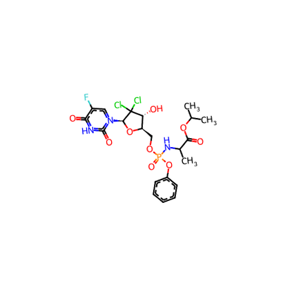 CC(C)OC(=O)C(C)NP(=O)(OC[C@H]1O[C@@H](n2cc(F)c(=O)[nH]c2=O)C(Cl)(Cl)[C@@H]1O)Oc1ccccc1